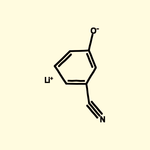 N#Cc1cccc([O-])c1.[Li+]